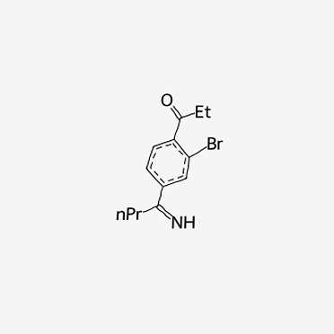 CCCC(=N)c1ccc(C(=O)CC)c(Br)c1